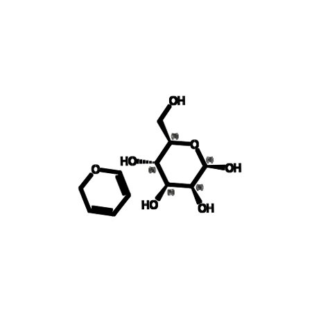 C1=CCOC=C1.OC[C@H]1O[C@@H](O)[C@@H](O)[C@@H](O)[C@@H]1O